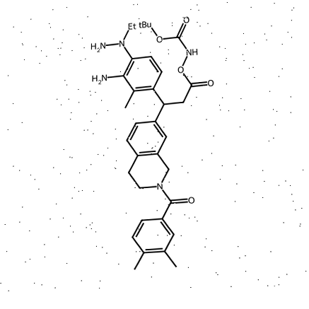 CCN(N)c1ccc(C(CC(=O)ONC(=O)OC(C)(C)C)c2ccc3c(c2)CN(C(=O)c2ccc(C)c(C)c2)CC3)c(C)c1N